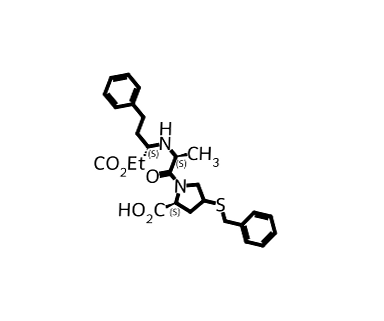 CCOC(=O)[C@H](CCc1ccccc1)N[C@@H](C)C(=O)N1CC(SCc2ccccc2)C[C@H]1C(=O)O